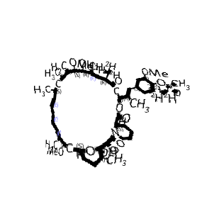 [2H]C([2H])([2H])[C@@H]1/C=C(\C)[C@@H](O)[C@@H](OC)C(=C)[C@H](C)C[C@H](C)/C=C/C=C/C=C(\C)[C@@H](OC)C[C@@H]2CC[C@@H](C)[C@@](O)(O2)C(=O)C(=O)N2CCCC[C@H]2C(=O)O[C@H]([C@H](C)C[C@@H]2CC[C@@H](OP(C)(=O)C([2H])([2H])[2H])[C@H](OC)C2)CC1=O